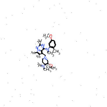 [2H]c1nc(N(C)c2cc(OC)ccc2C)c2c(CN3CC[C@@](C)(N([2H])C)[C@H](OC)C3)c([2H])c([2H])n2n1